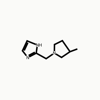 CC1CCN(Cc2ncc[nH]2)C1